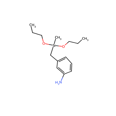 CCCO[Si](C)(Cc1cccc(N)c1)OCCC